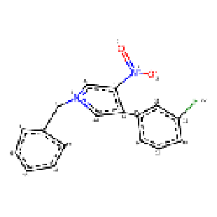 O=[N+]([O-])c1cn(Cc2ccccc2)cc1-c1cccc(F)c1